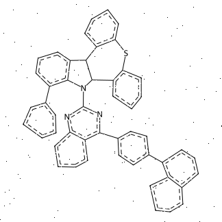 c1ccc(-c2cccc3c2N(c2nc(-c4ccc(-c5cccc6ccccc56)cc4)c4ccccc4n2)C2c4ccccc4Sc4ccccc4C32)cc1